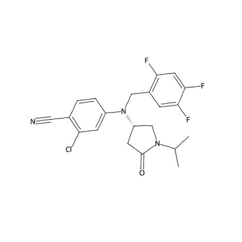 CC(C)N1C[C@@H](N(Cc2cc(F)c(F)cc2F)c2ccc(C#N)c(Cl)c2)CC1=O